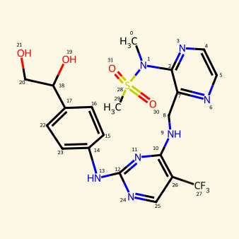 CN(c1nccnc1CNc1nc(Nc2ccc(C(O)CO)cc2)ncc1C(F)(F)F)S(C)(=O)=O